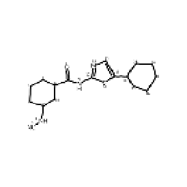 N#CNC1CCCC(C(=O)Nc2ncc(C3CCCCC3)s2)C1